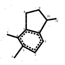 Cc1ccc2c(c1C)CCC2C